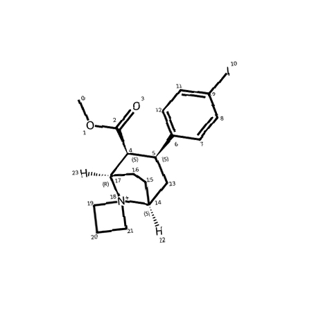 COC(=O)[C@H]1[C@@H](c2ccc(I)cc2)C[C@@H]2CC[C@H]1[N+]21CCC1